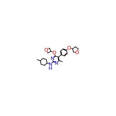 Cc1nc(NC2CCC(C)CC2)nc(OC2COC2)c1-c1ccc(OC2CCOC2)cc1